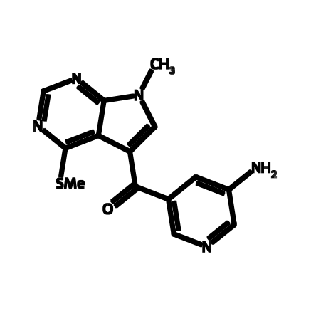 CSc1ncnc2c1c(C(=O)c1cncc(N)c1)cn2C